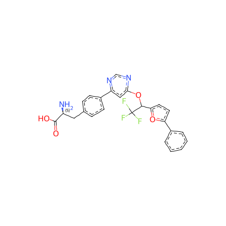 N[C@@H](Cc1ccc(-c2cc(OC(c3ccc(-c4ccccc4)o3)C(F)(F)F)ncn2)cc1)C(=O)O